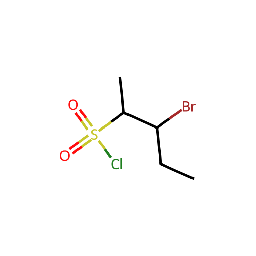 CCC(Br)C(C)S(=O)(=O)Cl